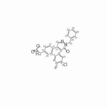 O=c1c(-c2ccc(F)c(Cl)c2)c(-c2ccc(C[SH](=O)=O)cc2)cnn1Cc1ccccc1